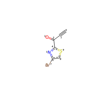 C#CC(=O)c1nc(Br)cs1